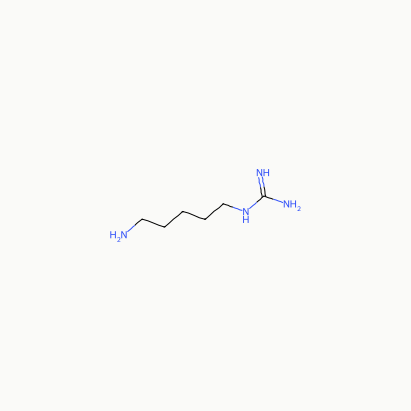 N=C(N)NCCCCCN